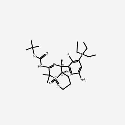 CC[Si](CC)(CC)c1cc(N)nc([C@@]2(C)N=C(NC(=O)OC(C)(C)C)C(C)(C)[S@]3(=O)=NCCC[C@@H]23)c1F